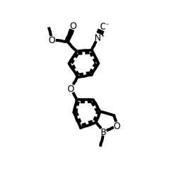 [C-]#[N+]c1ccc(Oc2ccc3c(c2)COB3C)cc1C(=O)OC